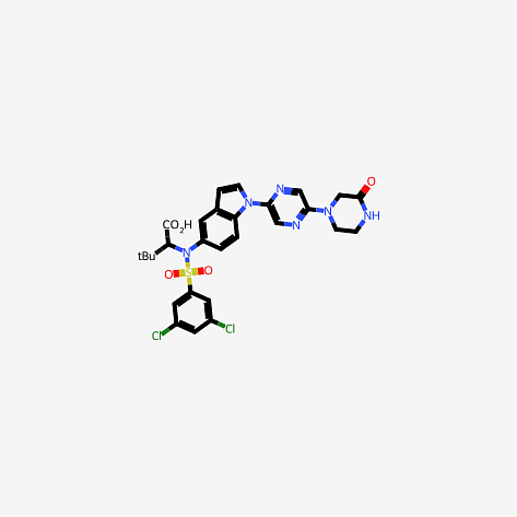 CC(C)(C)C(C(=O)O)N(c1ccc2c(ccn2-c2cnc(N3CCNC(=O)C3)cn2)c1)S(=O)(=O)c1cc(Cl)cc(Cl)c1